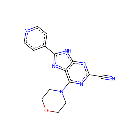 N#Cc1nc(N2CCOCC2)c2nc(-c3ccncc3)[nH]c2n1